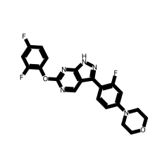 Fc1ccc(Oc2ncc3c(-c4ccc(N5CCOCC5)cc4F)n[nH]c3n2)c(F)c1